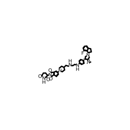 CN(C)[C@H]1CN(C2CCc3cccc(F)c32)C[C@@H]1c1ccc(NCCNCCC2CCN(c3ccc4c(c3)C(=O)N(C3CCC(=O)NC3=O)C4=O)CC2)cc1